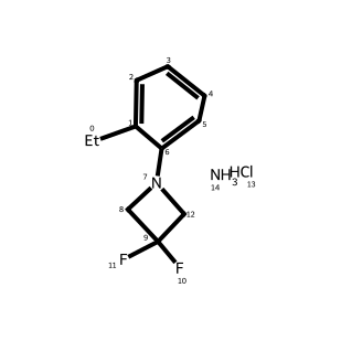 CCc1ccccc1N1CC(F)(F)C1.Cl.N